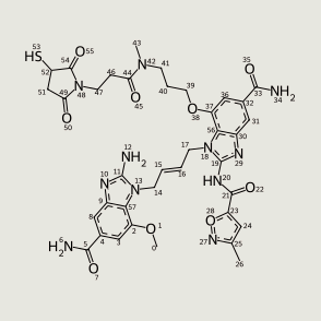 COc1cc(C(N)=O)cc2nc(N)n(C/C=C/Cn3c(NC(=O)c4cc(C)no4)nc4cc(C(N)=O)cc(OCCCN(C)C(=O)CCN5C(=O)CC(S)C5=O)c43)c12